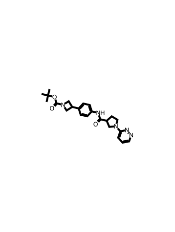 CC(C)(C)OC(=O)N1CC(c2ccc(NC(=O)C3CCN(c4cccnn4)C3)cc2)C1